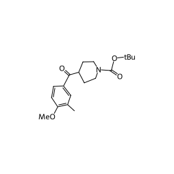 COc1ccc(C(=O)C2CCN(C(=O)OC(C)(C)C)CC2)cc1C